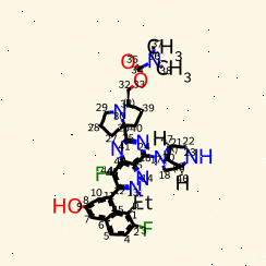 CCc1c(F)ccc2cc(O)cc(-c3nnc4c(N5C[C@H]6C[C@@H]5CN6)nc(C56CCCN5[C@@H](COC(=O)N(C)C)CC6)nc4c3F)c12